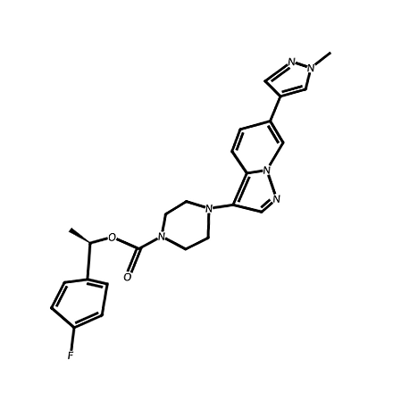 C[C@@H](OC(=O)N1CCN(c2cnn3cc(-c4cnn(C)c4)ccc23)CC1)c1ccc(F)cc1